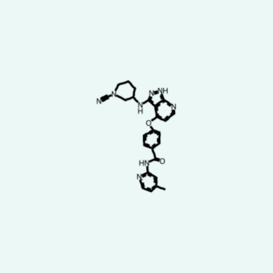 Cc1ccnc(NC(=O)c2ccc(Oc3ccnc4[nH]nc(NC5CCCN(C#N)C5)c34)cc2)c1